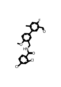 COc1ccc(-c2cc(C=O)c(F)cc2C)cc1CNC(=O)c1ccc(Cl)cc1Cl